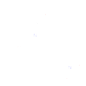 O=C1C2CCCCC2C(=O)N1c1ccc([N+](=O)[O-])c2ccccc12